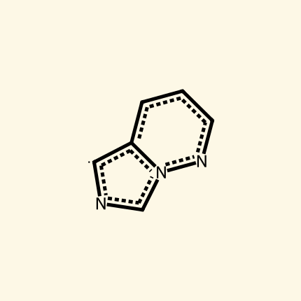 [c]1ncn2ncccc12